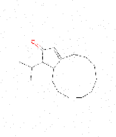 CC(C)C1C(=O)C=C2CCCCCCCCCC21